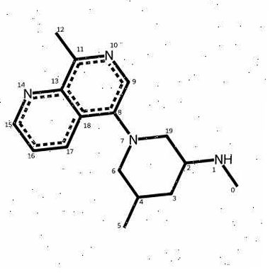 CNC1CC(C)CN(c2cnc(C)c3ncccc23)C1